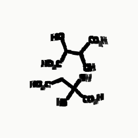 O=C(O)C(O)C(O)C(=O)O.O=C(O)CC(S)(S)C(=O)O